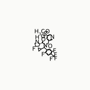 CS(=O)(=O)c1cncc(C(=O)N(C(=O)[C@H]2C[C@H](F)CN2)[C@@H](c2cc(F)c(C(F)(F)F)cc2F)C2CC2)c1